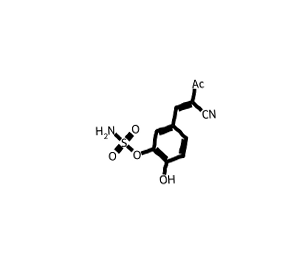 CC(=O)/C(C#N)=C/c1ccc(O)c(OS(N)(=O)=O)c1